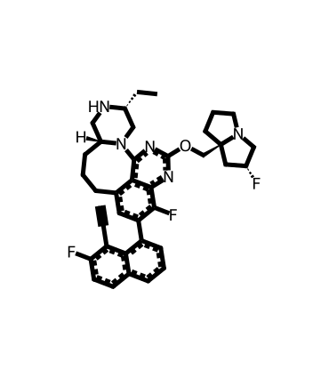 C#Cc1c(F)ccc2cccc(-c3cc4c5c(nc(OC[C@@]67CCCN6C[C@H](F)C7)nc5c3F)N3C[C@@H](CC)NC[C@H]3CCC4)c12